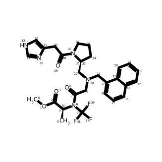 COC(=O)[C@H](C)N(C(=O)CN(Cc1cccc2ccccc12)C[C@@H]1CCCN1C(=O)Cc1c[nH]cn1)C(F)(F)F